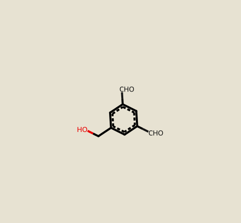 O=Cc1cc(C=O)cc(CO)c1